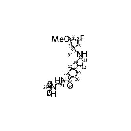 COc1cc(F)cc([C@@H](C)NC2CC[C@H](c3ccc(C(=O)NCCNS(C)(=O)=O)cc3)C2)c1